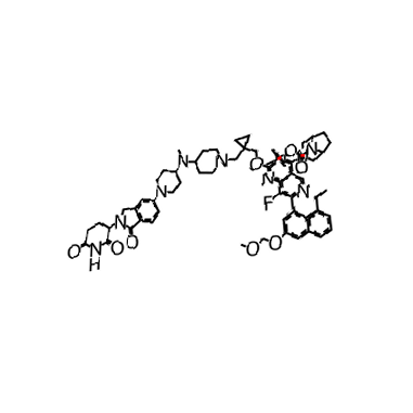 CCc1cccc2cc(OCOC)cc(-c3ncc4c(N5CC6CCC(C5)N6C(=O)OC(C)(C)C)nc(OCC5(CN6CCC(N(C)C7CCN(c8ccc9c(c8)CN(C8CCC(=O)NC8=O)C9=O)CC7)CC6)CC5)nc4c3F)c12